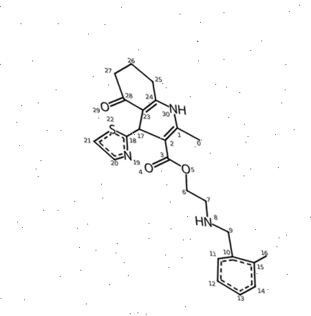 CC1=C(C(=O)OCCNCc2ccccc2C)C(c2nccs2)C2=C(CCCC2=O)N1